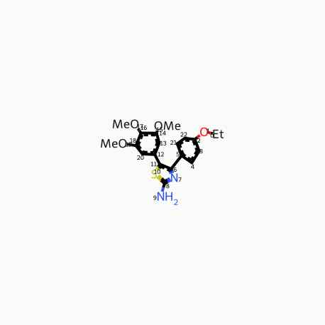 CCOc1ccc(-c2nc(N)sc2-c2cc(OC)c(OC)c(OC)c2)cc1